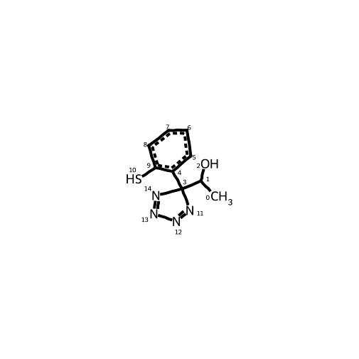 CC(O)C1(c2ccccc2S)N=NN=N1